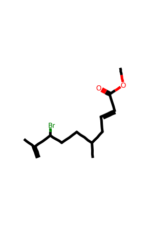 C=C(C)C(Br)CCC(C)C/C=C/C(=O)OC